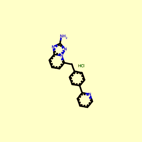 Cl.Nc1nc2cccc(Cc3ccc(-c4ccccn4)cc3)n2n1